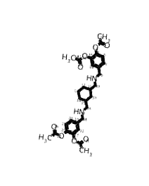 CC(=O)Oc1ccc(CNCC2CCCC(CNCc3ccc(OC(C)=O)c(OC(C)=O)c3)C2)cc1OC(C)=O